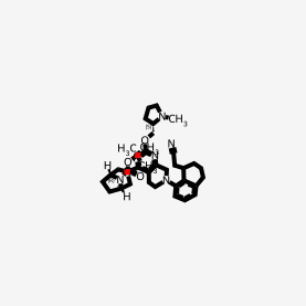 CN1CCC[C@H]1COc1nc2c(c(N3C[C@H]4CC[C@@H](C3)N4C(=O)OC(C)(C)C)n1)CCN(c1cccc3c1C(CC#N)CCC3)C2